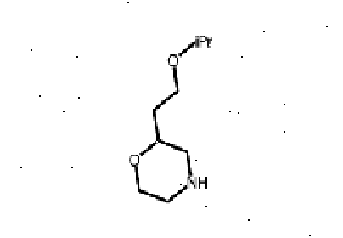 CC(C)OCCC1CNCCO1